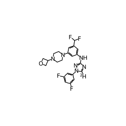 [2H]c1nc(Nc2cc(C(F)F)cc(N3CCN(C4COC4)CC3)c2)nn1-c1cc(F)cc(F)c1